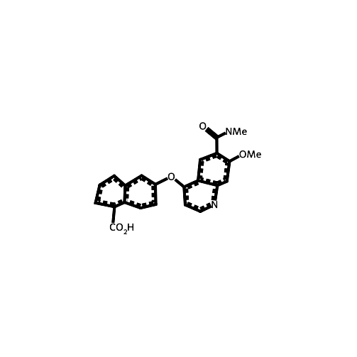 CNC(=O)c1cc2c(Oc3ccc4c(C(=O)O)cccc4c3)ccnc2cc1OC